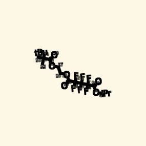 CC(C)OC(=O)C(F)(F)C(F)(F)C(F)(F)C(=O)OCCOC(=O)C(C)(C)C(C)(C)C